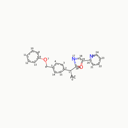 CC(=O)C(c1ccc(COc2ccccc2)cc1)c1ncc(-c2ccccn2)o1